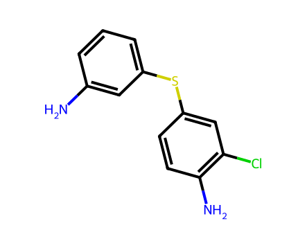 Nc1cccc(Sc2ccc(N)c(Cl)c2)c1